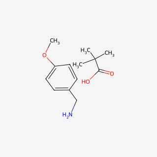 CC(C)(C)C(=O)O.COc1ccc(CN)cc1